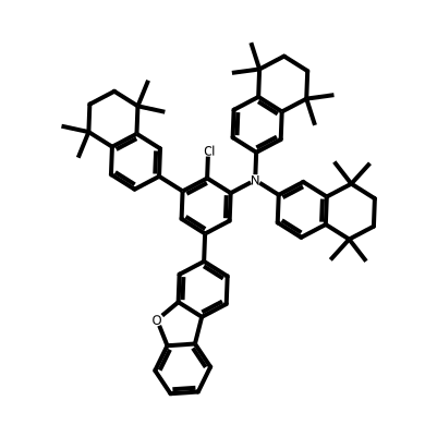 CC1(C)CCC(C)(C)c2cc(-c3cc(-c4ccc5c(c4)oc4ccccc45)cc(N(c4ccc5c(c4)C(C)(C)CCC5(C)C)c4ccc5c(c4)C(C)(C)CCC5(C)C)c3Cl)ccc21